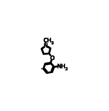 CN1CC[C@H](Oc2c[c]ccc2N)C1